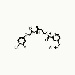 C=C(CCNC(=O)c1cc(CNC(C)=O)ccn1)NC(=O)COc1ccc(Cl)c(F)c1